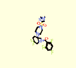 Cn1cnc(S(=O)(=O)N2CCN(C3(CNC(=O)c4c(F)cc(F)cc4F)CCC(F)(F)CC3)CC2)c1